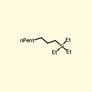 CCCCCCCC[Si](CC)(CC)CC